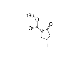 CC(C)(C)OC(=O)N1CC(I)CC1=O